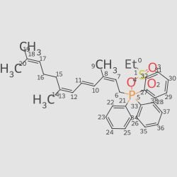 CCS(=O)(=O)OP(CC=C(C)C=CC=C(C)CCC=C(C)C)(c1ccccc1)(c1ccccc1)c1ccccc1